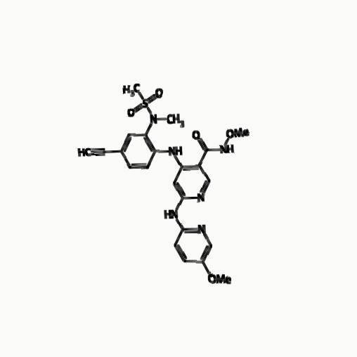 C#Cc1ccc(Nc2cc(Nc3ccc(OC)cn3)ncc2C(=O)NOC)c(N(C)S(C)(=O)=O)c1